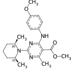 COC(=O)c1c(C)nc(N2[C@H](C)CCC[C@@H]2C)nc1Nc1ccc(OC)cc1